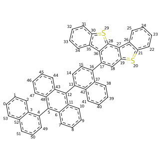 c1ccc2c(-c3c4ccccc4c(-c4ccc(-c5cc6sc7ccccc7c6c6sc7ccccc7c56)c5ccccc45)c4ccccc34)cccc2c1